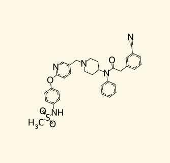 CS(=O)(=O)Nc1ccc(Oc2ccc(CN3CCC(N(C(=O)Cc4cccc(C#N)c4)c4ccccc4)CC3)cn2)cc1